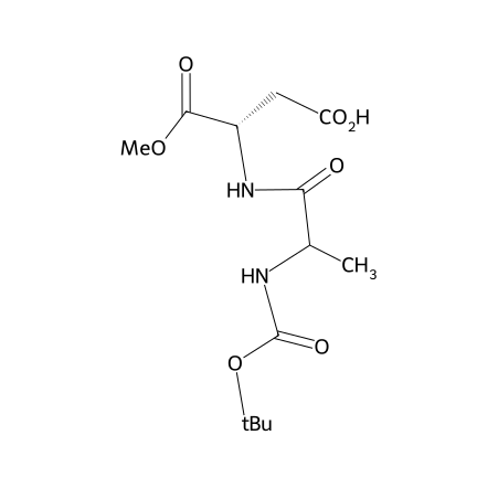 COC(=O)[C@H](CC(=O)O)NC(=O)C(C)NC(=O)OC(C)(C)C